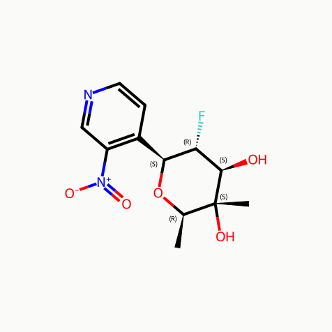 C[C@H]1O[C@@H](c2ccncc2[N+](=O)[O-])[C@H](F)[C@@H](O)[C@]1(C)O